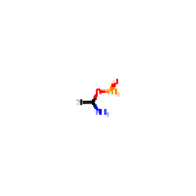 CCC(N)O[PH2]=O